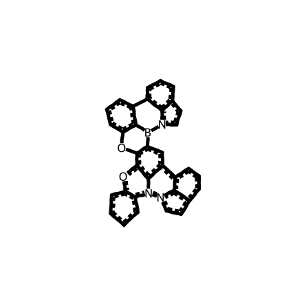 c1cc2c3c(c1)-c1cccc4ccn(c14)B3c1cc3c4c(oc5ccccc5n-4n4ccc5cccc3c54)c1O2